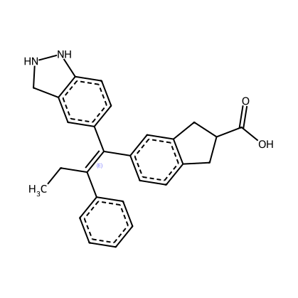 CC/C(=C(/c1ccc2c(c1)CC(C(=O)O)C2)c1ccc2c(c1)CNN2)c1ccccc1